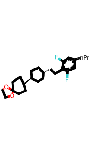 CCCc1cc(F)c(CC[C@H]2CC[C@H](C3CCC4(CC3)OCCO4)CC2)c(F)c1